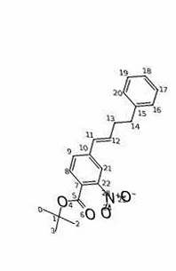 CC(C)(C)OC(=O)c1ccc(C=CCCc2ccccc2)cc1[N+](=O)[O-]